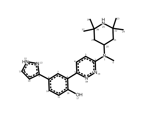 CN(c1ccc(-c2cc(-c3cc[nH]n3)ccc2O)nn1)C1CC(C)(C)NC(C)(C)C1